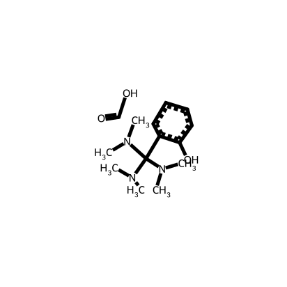 CN(C)C(c1ccccc1O)(N(C)C)N(C)C.O=CO